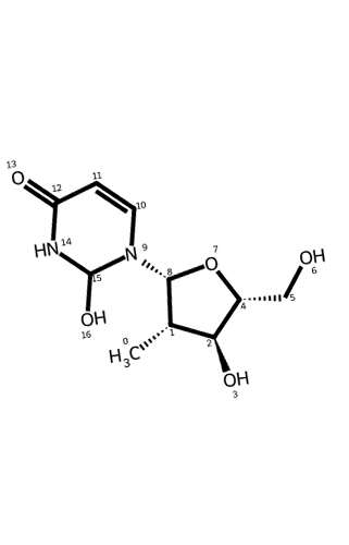 C[C@H]1[C@H](O)[C@@H](CO)O[C@H]1N1C=CC(=O)NC1O